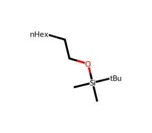 CCCC[CH]CCCO[Si](C)(C)C(C)(C)C